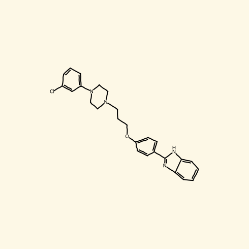 Clc1cccc(N2CCN(CCCOc3ccc(-c4nc5ccccc5[nH]4)cc3)CC2)c1